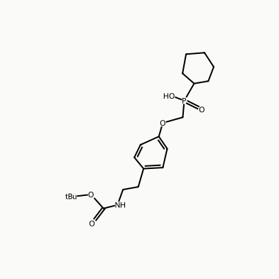 CC(C)(C)OC(=O)NCCc1ccc(OCP(=O)(O)C2CCCCC2)cc1